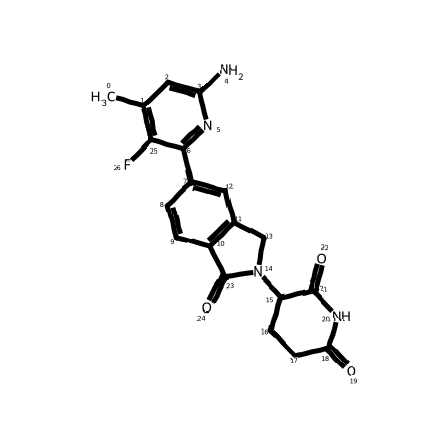 Cc1cc(N)nc(-c2ccc3c(c2)CN(C2CCC(=O)NC2=O)C3=O)c1F